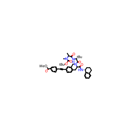 COC(=O)c1ccc(C#Cc2ccc3c(c2)CN(C(=O)C(NC(=O)C(C)N(C)C(=O)OC(C)(C)C)C(C)(C)C)C(C(=O)N[C@@H]2CCCc4ccccc42)C3)cc1